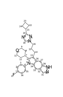 Fc1ccc(-n2c(C3CCOCC3)c(CCCn3cnc(C4CCC4)n3)c3cc4[nH]ncc4cc32)cc1